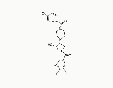 O=C(c1ccc(Cl)cc1)N1CCN(C2CN(C(=O)c3cc(F)c(F)c(F)c3)CC2O)CC1